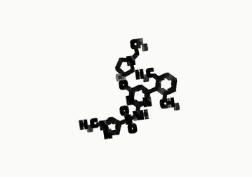 Cc1cccc(C)c1-c1cc(O[C@@H]2CCN(CC(F)(F)F)C2)nc(NS(=O)(=O)c2cnn(C)c2)n1